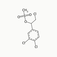 CS(=O)(=O)OC(CCl)c1ccc(Cl)c(Cl)c1